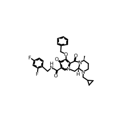 C[C@H]1CCN(CC2CC2)[C@@H]2Cn3cc(C(=O)NCc4ccc(F)cc4F)c(=O)c(OCc4ccccc4)c3C(=O)N12